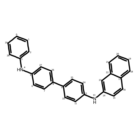 c1ccc(Nc2ccc(-c3ccc(Nc4ccc5ccccc5c4)cc3)cc2)cc1